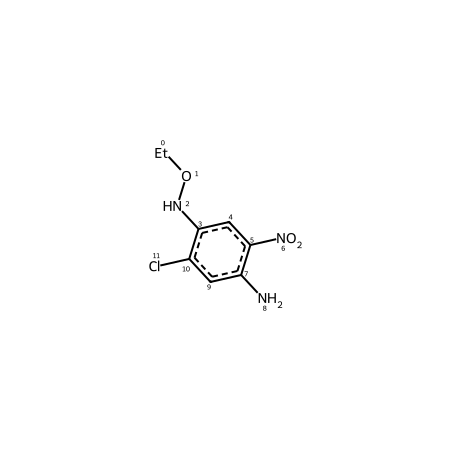 CCONc1cc([N+](=O)[O-])c(N)cc1Cl